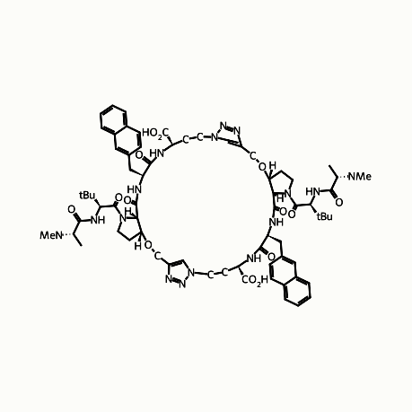 CN[C@@H](C)C(=O)N[C@H](C(=O)N1CC[C@H]2OCc3cn(nn3)CC[C@H](C(=O)O)NC(=O)[C@H](Cc3ccc4ccccc4c3)NC(=O)[C@@H]3[C@@H](CCN3C(=O)[C@@H](NC(=O)[C@H](C)NC)C(C)(C)C)OCc3cn(nn3)CC[C@H](C(=O)O)NC(=O)[C@H](Cc3ccc4ccccc4c3)NC(=O)[C@H]21)C(C)(C)C